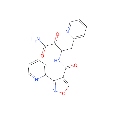 NC(=O)C(=O)C(Cc1ccccn1)NC(=O)c1conc1-c1ccccn1